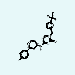 O=c1nc(N[C@@H]2CCO[C@H](c3ccc(F)cc3)C2)ncn1Cc1ccc(C(F)(F)F)s1